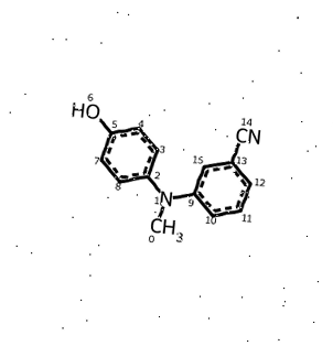 CN(c1ccc(O)cc1)c1cccc(C#N)c1